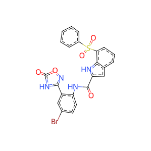 O=C(Nc1ccc(Br)cc1-c1noc(=O)[nH]1)c1cc2cccc(S(=O)(=O)c3ccccc3)c2[nH]1